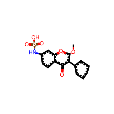 COc1oc2cc(NS(=O)(=O)O)ccc2c(=O)c1-c1ccccc1